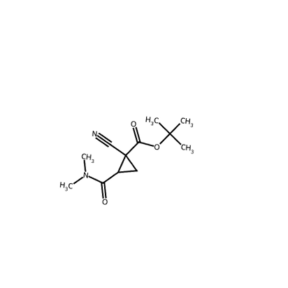 CN(C)C(=O)C1CC1(C#N)C(=O)OC(C)(C)C